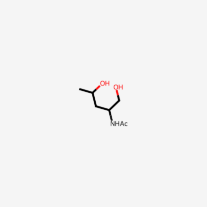 CC(=O)NC(CO)CC(C)O